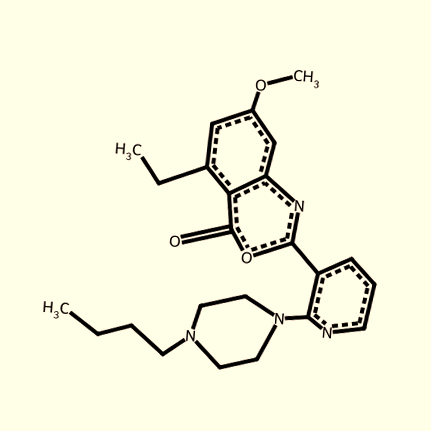 CCCCN1CCN(c2ncccc2-c2nc3cc(OC)cc(CC)c3c(=O)o2)CC1